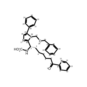 O=C(O)N[C@@H](CCCCCC(=O)c1ccccn1)c1ncc(-c2ccccc2)n1COCc1ccccc1